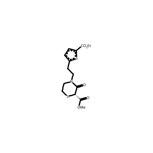 CCOC(=O)c1ccc(CCN2CCS[C@@H](C(=O)OC)C2=O)s1